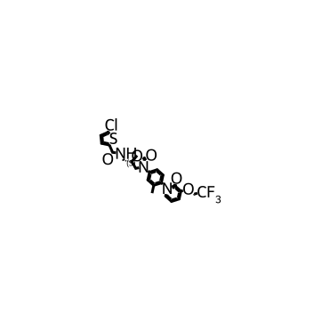 Cc1cc(N2C[C@H](CNC(=O)c3ccc(Cl)s3)OC2=O)ccc1-n1cccc(OCC(F)(F)F)c1=O